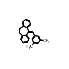 FC(F)(F)c1cc(C=C2c3ccccc3CCc3ccccc32)cc(C(F)(F)F)c1